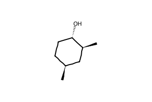 C[C@H]1CC[C@H](O)[C@@H](C)C1